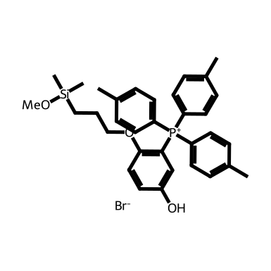 CO[Si](C)(C)CCCOc1ccc(O)cc1[P+](c1ccc(C)cc1)(c1ccc(C)cc1)c1ccc(C)cc1.[Br-]